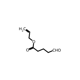 C=CCOC(=O)CCCC=O